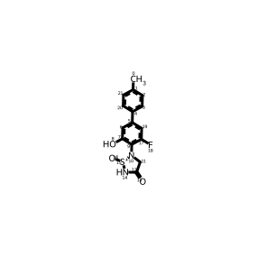 Cc1ccc(-c2cc(O)c(N3CC(=O)N[S+]3[O-])c(F)c2)cc1